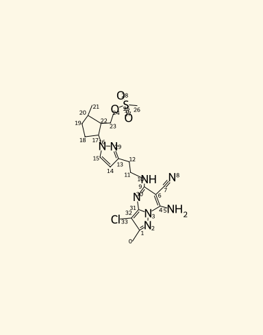 Cc1nn2c(N)c(C#N)c(NCCc3ccn(C4CCC(C)C4COS(C)(=O)=O)n3)nc2c1Cl